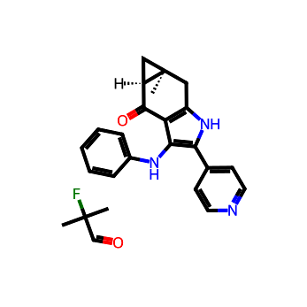 CC(C)(F)C=O.C[C@]12Cc3[nH]c(-c4ccncc4)c(Nc4ccccc4)c3C(=O)[C@H]1C2